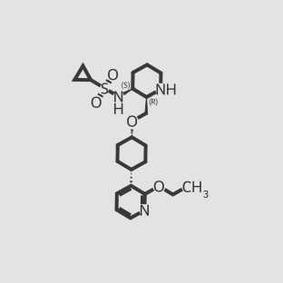 CCOc1ncccc1[C@H]1CC[C@@H](OC[C@@H]2NCCC[C@@H]2NS(=O)(=O)C2CC2)CC1